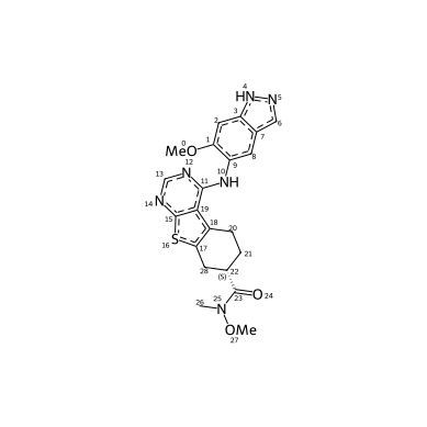 COc1cc2[nH]ncc2cc1Nc1ncnc2sc3c(c12)CC[C@H](C(=O)N(C)OC)C3